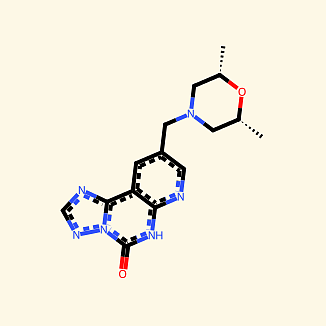 C[C@@H]1CN(Cc2cnc3[nH]c(=O)n4ncnc4c3c2)C[C@H](C)O1